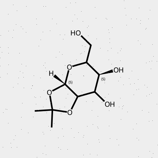 CC1(C)OC2C(O)[C@H](O)C(CO)O[C@H]2O1